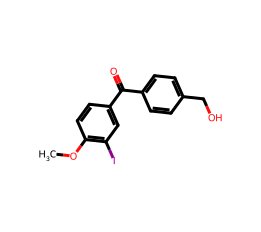 COc1ccc(C(=O)c2ccc(CO)cc2)cc1I